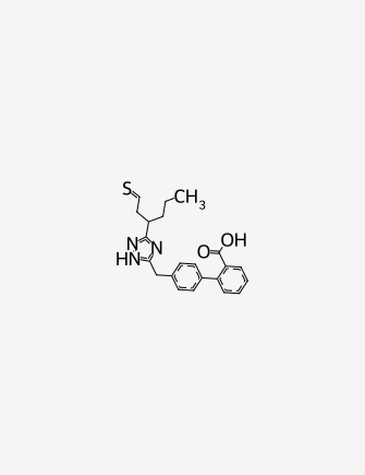 CCCC(CC=S)c1n[nH]c(Cc2ccc(-c3ccccc3C(=O)O)cc2)n1